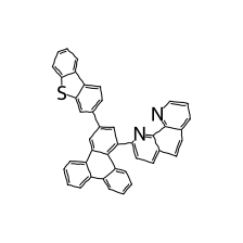 c1cnc2c(c1)ccc1ccc(-c3cc(-c4ccc5c(c4)sc4ccccc45)cc4c5ccccc5c5ccccc5c34)nc12